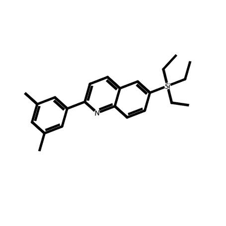 CC[Si](CC)(CC)c1ccc2nc(-c3cc(C)cc(C)c3)ccc2c1